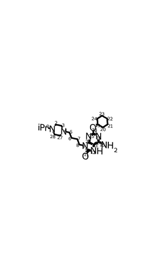 CC(C)N1CCN(CCCCn2c(=O)[nH]c3c(N)nc(OC4CCCCC4)nc32)CC1